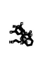 COCCN1C[C@H](CCO)[C@H]2CCC[C@@H](C1=O)N2S(=O)(=O)c1cc(Cl)cc(Cl)c1